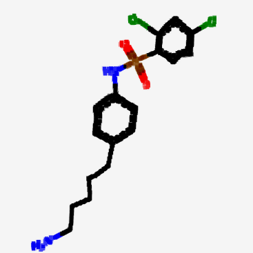 NCCCCCc1ccc(NS(=O)(=O)c2ccc(Cl)cc2Cl)cc1